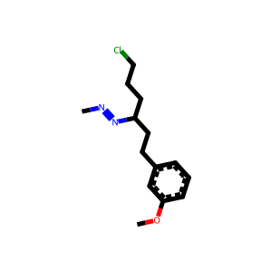 CN=NC(CCCCl)CCc1cccc(OC)c1